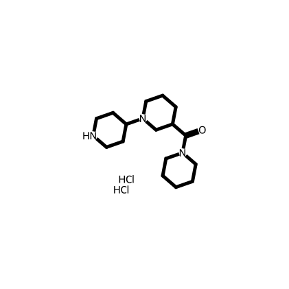 Cl.Cl.O=C(C1CCCN(C2CCNCC2)C1)N1CCCCC1